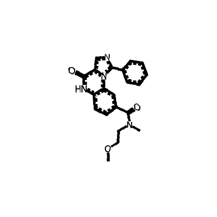 COCCN(C)C(=O)c1ccc2[nH]c(=O)c3cnc(-c4ccccc4)n3c2c1